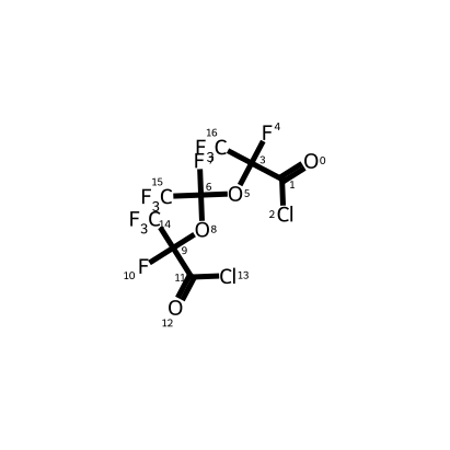 O=C(Cl)C(F)(OC(F)(OC(F)(C(=O)Cl)C(F)(F)F)C(F)(F)F)C(F)(F)F